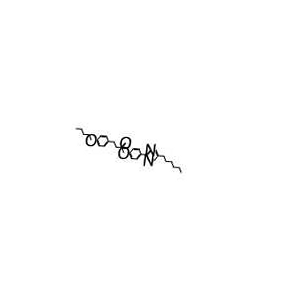 CCCCCCc1cnc(-c2ccc(OC(=O)CCc3ccc(OCCCC)cc3)cc2)nc1